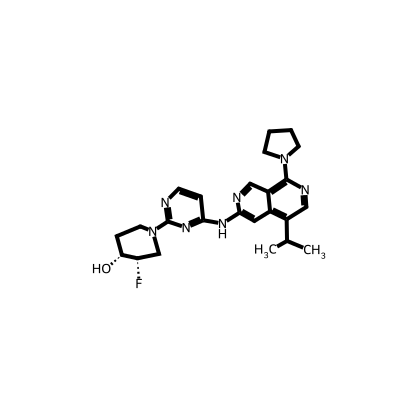 CC(C)c1cnc(N2CCCC2)c2cnc(Nc3ccnc(N4CC[C@@H](O)[C@@H](F)C4)n3)cc12